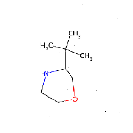 CC(C)(C)C1COCC[N]1